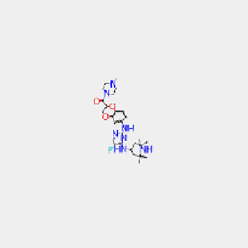 CN1CCN(C(=O)C2COc3cc(Nc4ncc(F)c(NC5CC(C)(C)NC(C)(C)C5)n4)ccc3O2)CC1